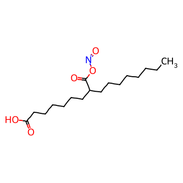 CCCCCCCCC(CCCCCCC(=O)O)C(=O)ON=O